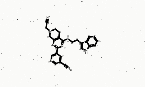 N#CCN1CCc2c(nc(-c3cncc(C#N)c3)nc2NCCc2c[nH]c3ccccc23)C1